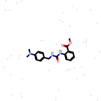 COC(=O)c1ccccc1NC(=O)NCc1ccc(N(C)C)cc1